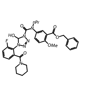 CCCN(C(=O)N1N=NN(c2c(F)cccc2C(=O)N2CCCCC2)C1O)c1ccc(OC)c(C(=O)OCc2ccccc2)c1